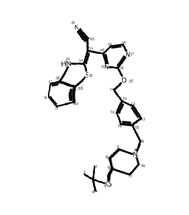 CC(C)(C)OC1CCN(Cc2ccc(COc3nccc(C(C#N)=C4Nc5ccccc5S4)n3)cc2)CC1